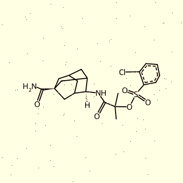 CC(C)(OS(=O)(=O)c1ccccc1Cl)C(=O)N[C@H]1C2CC3CC1C[C@@](C(N)=O)(C3)C2